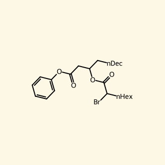 CCCCCCCCCCCC(CC(=O)Oc1ccccc1)OC(=O)C(Br)CCCCCC